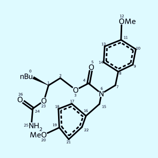 CCCC[C@@H](COC(=O)N(Cc1ccc(OC)cc1)Cc1ccc(OC)cc1)OC(N)=O